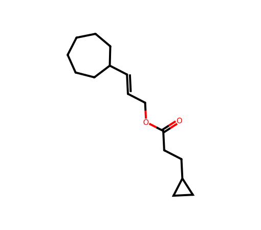 O=C(CCC1CC1)OC/C=C/C1CCCCCC1